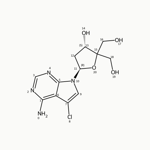 Nc1ncnc2c1c(Cl)cn2[C@H]1C[C@H](O)C(CO)(CO)O1